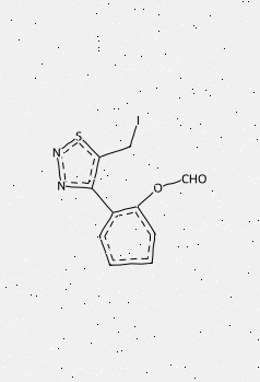 O=COc1ccccc1-c1nnsc1CI